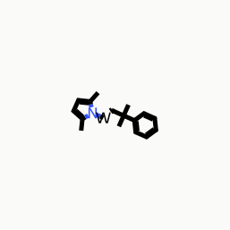 Cc1ccc(C)[n]1[W]=[CH]C(C)(C)c1ccccc1